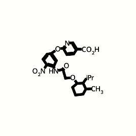 CC(C)C1C(C)CCCC1OCC(=O)Nc1cc(Oc2ccc(C(=O)O)cn2)ccc1[N+](=O)[O-]